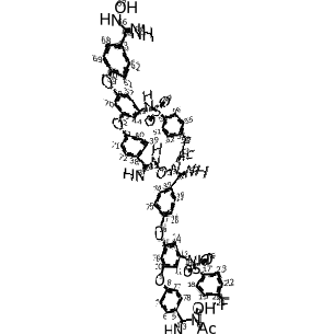 CC(=O)N(O)C(=N)c1ccc(Oc2cc(NS(=O)(=O)c3ccc(F)cc3)cc(Oc3ccc(C(=N)N(ONC(=N)c4ccc(Oc5cc(NS(=O)(=O)c6ccc(F)cc6)cc(Oc6ccc(C(=N)NO)cc6)c5)cc4)C(C)=O)cc3)c2)cc1